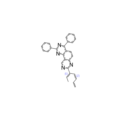 C=C/C=C\C(=C/C)c1ncc2c(ccc3c(-c4ccccc4)nc(-c4ccccc4)nc32)n1